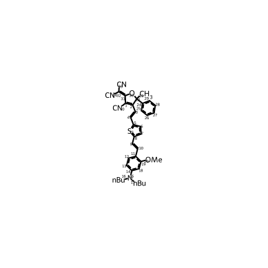 [C-]#[N+]C1=C(/C=C/c2ccc(/C=C/c3ccc(N(CCCC)CCCC)cc3OC)s2)C(C)(c2ccccc2)O/C1=C(\C#N)[N+]#[C-]